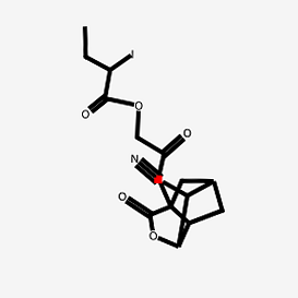 CCC(I)C(=O)OCC(=O)OC1C2CC3C1OC(=O)C3(C#N)C2